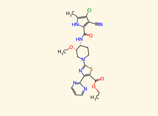 CCOC(=O)c1sc(N2CC[C@@H](NC(=O)c3[nH]c(C)c(Cl)c3C#N)[C@@H](OC)C2)nc1-c1ncccn1